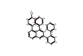 Clc1ccc(-c2cccc3cc(-c4ccccc4-c4ccccc4)cc(-c4ccccc4)c23)cc1